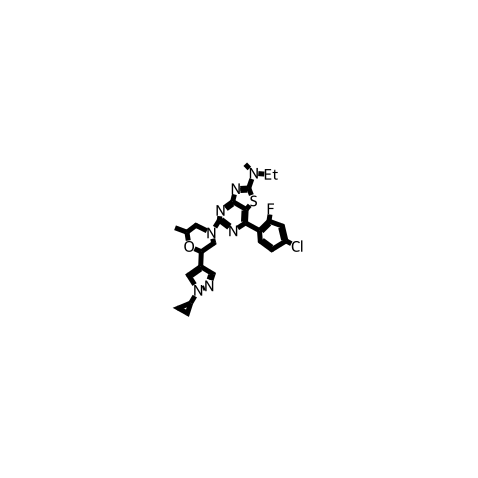 CCN(C)c1nc2nc(N3CC(C)OC(c4cnn(C5CC5)c4)C3)nc(-c3ccc(Cl)cc3F)c2s1